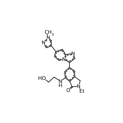 CCN1Cc2cc(-c3cnc4cc(-c5cnn(C)c5)ccn34)cc(NCCO)c2C1=O